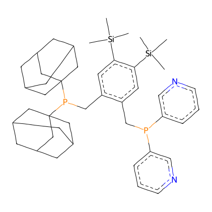 C[Si](C)(C)c1cc(CP(c2cccnc2)c2cccnc2)c(CP(C23CC4CC(CC(C4)C2)C3)C23CC4CC(CC(C4)C2)C3)cc1[Si](C)(C)C